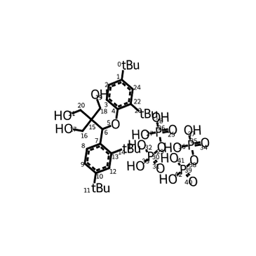 CC(C)(C)c1ccc(OC(c2ccc(C(C)(C)C)cc2C(C)(C)C)C(CO)(CO)CO)c(C(C)(C)C)c1.O=P(O)(O)OP(=O)(O)O.O=P(O)(O)OP(=O)(O)O